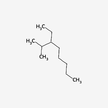 CCCCCC(CC)C(C)C